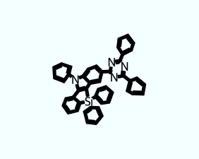 c1ccc(-c2nc(-c3ccccc3)nc(-c3ccc4c(c3)c3c(n4-c4ccccc4)-c4ccccc4[Si]3(c3ccccc3)c3ccccc3)n2)cc1